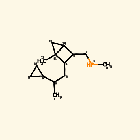 CPCC1C(CC(C)C2CC2)C2(C)CC12